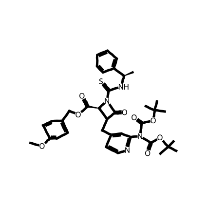 COc1ccc(COC(=O)[C@@H]2C(Cc3ccnc(N(C(=O)OC(C)(C)C)C(=O)OC(C)(C)C)c3)C(=O)N2C(=S)N[C@H](C)c2ccccc2)cc1